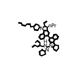 C=C/C=C\C=C/CC1=CC[C@@H](N2c3c(cc(-c4cc5c(c6c(n5[C@@H](/N=C5/CCC=CC5=C)NCC(/C=C\C)=C/C=C)C=CCC6)c5ccccc45)c4ccccc34)[C@H](CCC)C2C=C)C=C1